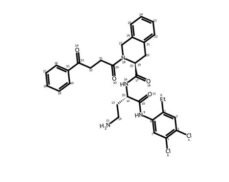 CCc1cc(Cl)c(Cl)cc1NC(=O)[C@H](CCN)NC(=O)[C@@H]1Cc2ccccc2CN1C(=O)CCC(=O)c1ccccc1